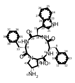 N[C@H]1C[C@@H]2C(=O)N[C@@H](Cc3ccccc3)C(=O)N[C@H](Cc3c[nH]c4ccccc34)C(=O)N[C@@H](Cc3ccccc3)C(=O)N2C1